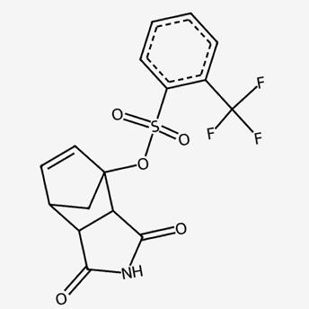 O=C1NC(=O)C2C1C1C=CC2(OS(=O)(=O)c2ccccc2C(F)(F)F)C1